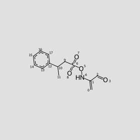 C=C(C=O)NOS(=O)(=O)CC(C)c1ccccc1